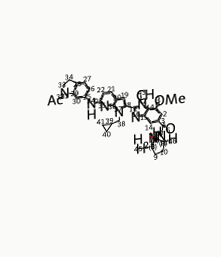 COc1cc(C(=O)N2C[C@H]3CC[C@@H]2[C@@H]3N)cc2nc(-c3cc4ccc(Nc5ccc6c(c5)N(C(C)=O)CC6)nc4n3CC3CC3)n(C)c12